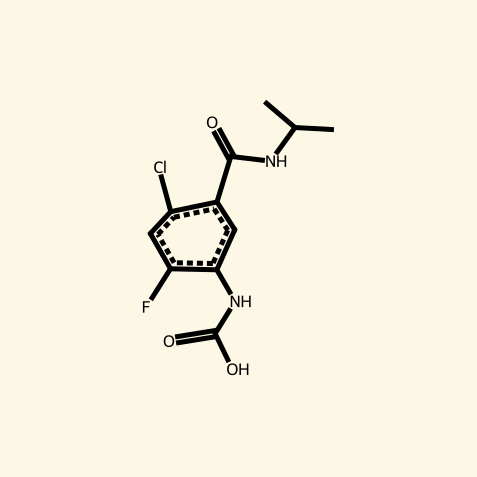 CC(C)NC(=O)c1cc(NC(=O)O)c(F)cc1Cl